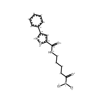 CCN(CC)C(=O)CCCCNC(=O)c1cc(-c2ccccc2)no1